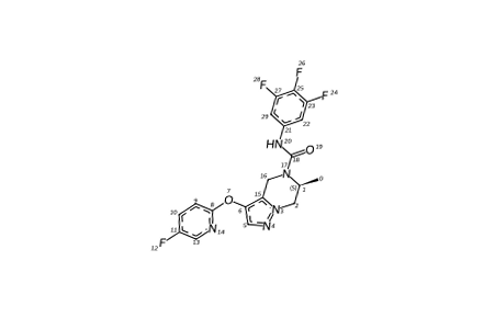 C[C@H]1Cn2ncc(Oc3ccc(F)cn3)c2CN1C(=O)Nc1cc(F)c(F)c(F)c1